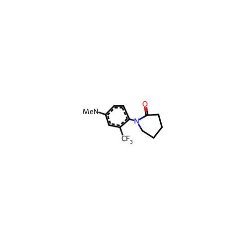 CNc1ccc(N2CCCCC2=O)c(C(F)(F)F)c1